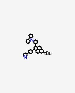 CC(C)(C)C1C=c2ccc3c(-c4ccc(-c5cccnc5)cc4)cc(-c4cccc(N5c6ccccc6C6C=CC=CC65)c4)c4ccc(c2c34)C1